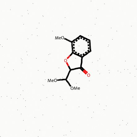 COc1cccc2c1OC(C(OC)OC)C2=O